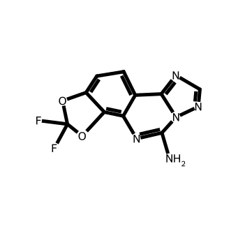 Nc1nc2c3c(ccc2c2ncnn12)OC(F)(F)O3